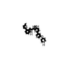 Cc1ccc(-c2cccc3[nH]c(-c4n[nH]c5ccc(-c6cncc(OC7CCNCC7)c6)nc45)cc23)s1